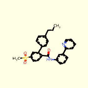 CCCc1ccc(-c2cc(S(C)(=O)=O)ccc2C(=O)Nc2cccc(-c3ccccn3)c2)cc1